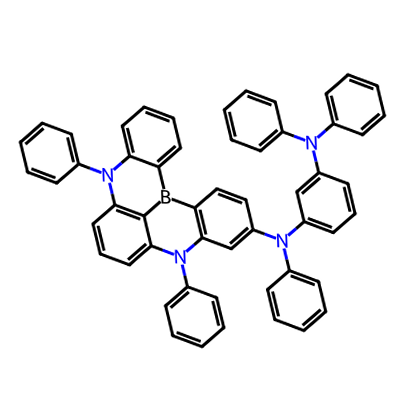 c1ccc(N(c2ccccc2)c2cccc(N(c3ccccc3)c3ccc4c(c3)N(c3ccccc3)c3cccc5c3B4c3ccccc3N5c3ccccc3)c2)cc1